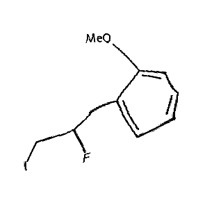 COc1ccccc1CC(F)CI